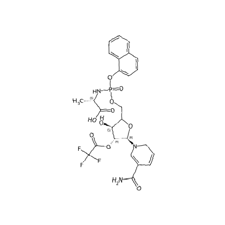 C[C@H](NP(=O)(OCC1O[C@@H](N2C=C(C(N)=O)C=CC2)[C@H](OC(=O)C(F)(F)F)[C@H]1O)Oc1cccc2ccccc12)C(=O)O